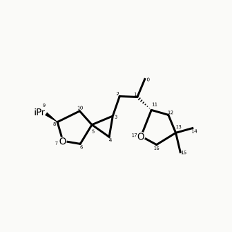 CC(CC1CC12CO[C@@H](C(C)C)C2)[C@@H]1CC(C)(C)CO1